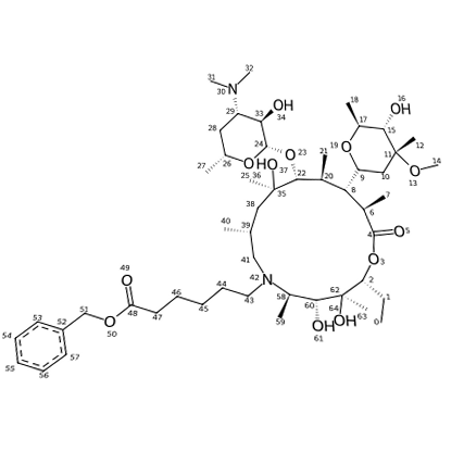 CC[C@H]1OC(=O)[C@H](C)[C@@H](C2C[C@@](C)(OC)[C@@H](O)[C@H](C)O2)[C@H](C)[C@@H](O[C@@H]2O[C@H](C)C[C@H](N(C)C)[C@H]2O)[C@](C)(O)C[C@@H](C)CN(CCCCCC(=O)OCc2ccccc2)[C@H](C)[C@@H](O)[C@]1(C)O